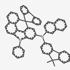 CC1(C)c2ccccc2-c2cc(N(c3ccc4ccccc4c3)c3cc4c5c6c7c(cccc7ccc6n(-c6ccccc6)c5c3)C43c4ccccc4-c4ccccc43)ccc21